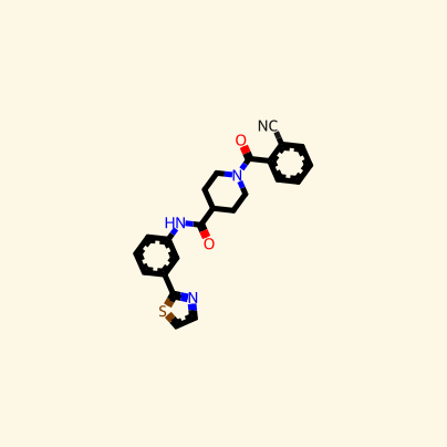 N#Cc1ccccc1C(=O)N1CCC(C(=O)Nc2cccc(-c3nccs3)c2)CC1